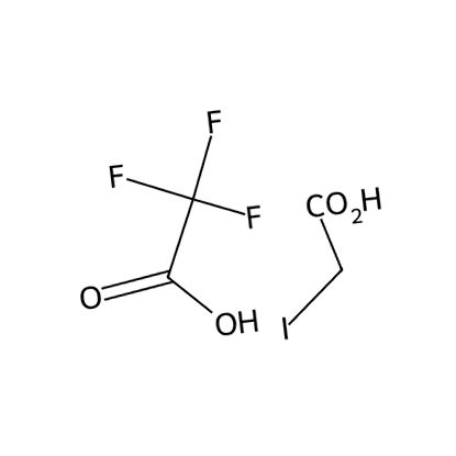 O=C(O)C(F)(F)F.O=C(O)CI